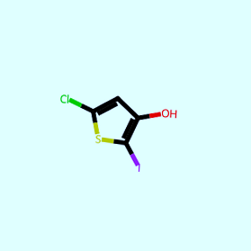 Oc1cc(Cl)sc1I